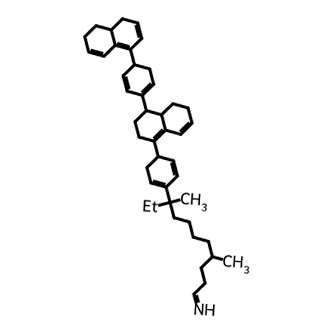 CCC(C)(CCCCC(C)CCC=N)C1=CCC(C2=C3C=CCCC3C(C3=CCC(C4=C5C=CCCC5CC=C4)C=C3)CC2)C=C1